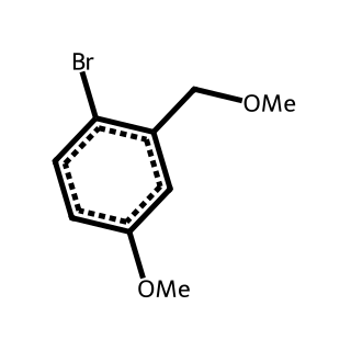 COCc1cc(OC)ccc1Br